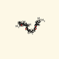 C=C1CCC(N2C(=O)c3ccc(N4CCC(CN5CCC(CN6[C@H](C)CN(c7cc(-c8n[nH]c9ccc(NC(=O)C%10=C(C)N(C)c%11nnnn%11C%10C)cc89)ccn7)C[C@@H]6C)CC5)CC4)cc3C2=O)C(=O)N1